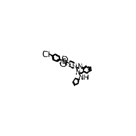 O=S(=O)(c1ccc(Cl)cc1)N1CCN(c2nc(NC3CCCC3)c3ccccc3n2)CC1